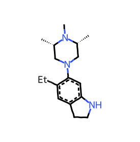 CCc1cc2c(cc1N1C[C@@H](C)N(C)[C@@H](C)C1)NCC2